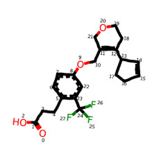 O=C(O)CCc1ccc(OCC2=C(C3C=CCC3)CCOC2)cc1C(F)(F)F